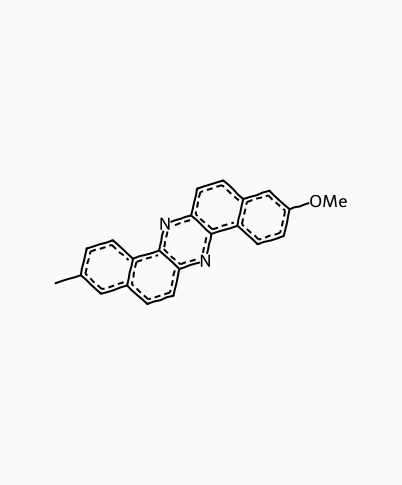 COc1ccc2c(ccc3nc4c(ccc5cc(C)ccc54)nc32)c1